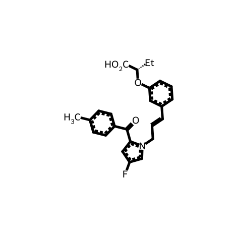 CC[C@H](Oc1cccc(/C=C/Cn2cc(F)cc2C(=O)c2ccc(C)cc2)c1)C(=O)O